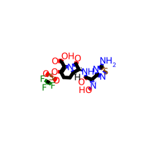 Nc1nc(/C(=N/O)C(=O)N[C@@H]2C(=O)N3C(C(=O)O)=C(OS(=O)(=O)C(F)(F)F)CC[C@H]23)ns1